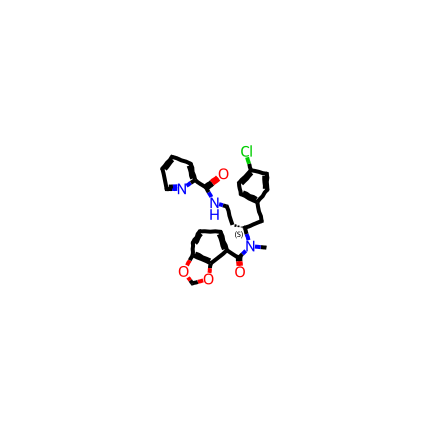 CN(C(=O)c1cccc2c1OCO2)[C@H](CCNC(=O)c1ccccn1)Cc1ccc(Cl)cc1